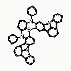 c1ccc(N2c3cc4c(cc3B3c5ccc6c(c5N(c5ccccc5)c5cccc2c53)c2cccc3c5ccccc5n6c32)c2cccc3c5ccccc5n4c32)cc1